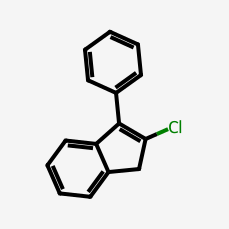 ClC1=C(c2ccccc2)c2ccccc2C1